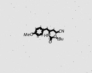 COc1ccc(CC(CCC#N)NC(=O)OC(C)(C)C)cc1